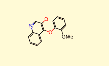 COc1ccccc1Oc1c([O])cnc2ccccc12